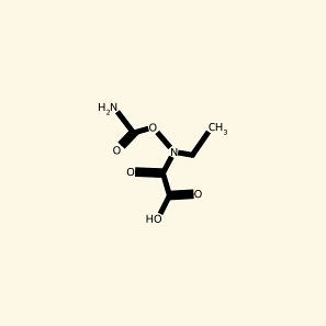 CCN(OC(N)=O)C(=O)C(=O)O